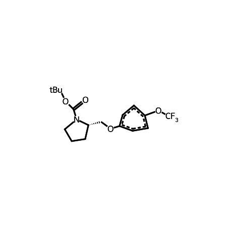 CC(C)(C)OC(=O)N1CCC[C@H]1COc1ccc(OC(F)(F)F)cc1